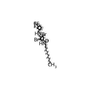 CCCCCCCCCCCCNC(=O)c1cc(Br)c(CNCc2cccc(C(F)(F)F)c2)c(Br)c1